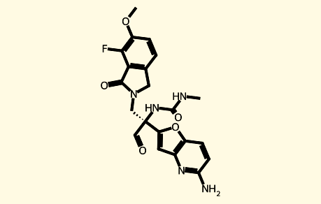 CNC(=O)N[C@@](C=O)(CN1Cc2ccc(OC)c(F)c2C1=O)c1cc2nc(N)ccc2o1